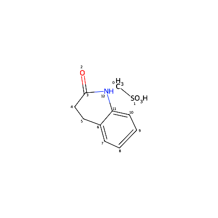 CS(=O)(=O)O.O=C1CCc2ccccc2N1